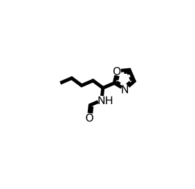 CCCCC(NC=O)c1ncco1